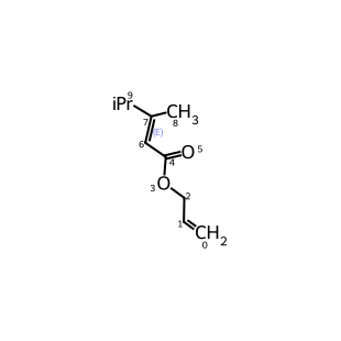 C=CCOC(=O)/C=C(\C)C(C)C